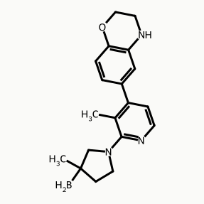 BC1(C)CCN(c2nccc(-c3ccc4c(c3)NCCO4)c2C)C1